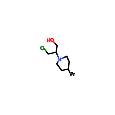 CC(C)C1CCN(C(CO)CCl)CC1